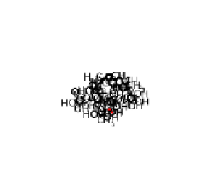 C[C@@H]1[C@@H](O)[C@@H](O[C@H]2[C@H](O)[C@@H](O[C@H]3O[C@@H](CO)[C@H](O)[C@@H](O)[C@@H]3O)[C@H](O[C@H](CC[C@@H](C)C3CC[C@@]4(C)C5CC=C6C(CC[C@H](O[C@@H]7O[C@H](CO)[C@@H](O)[C@H](O)[C@H]7O)C6(C)C)[C@]5(C)[C@H](O)C[C@]34C)C(C)(C)O)O[C@@H]2CO[C@H]2O[C@H](CO)[C@@H](O)[C@H](O)[C@H]2O)O[C@H](CO)[C@H]1O